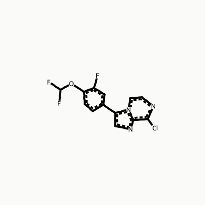 Fc1cc(-c2cnc3c(Cl)nccn23)ccc1OC(F)F